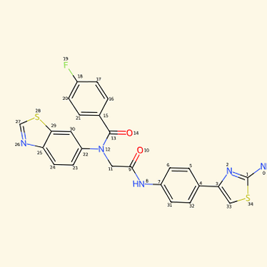 Nc1nc(-c2ccc(NC(=O)CN(C(=O)c3ccc(F)cc3)c3ccc4ncsc4c3)cc2)cs1